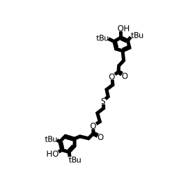 CC(C)(C)c1cc(CCC(=O)OCCCSCCCOC(=O)CCc2cc(C(C)(C)C)c(O)c(C(C)(C)C)c2)cc(C(C)(C)C)c1O